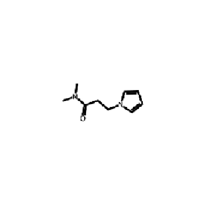 CN(C)C(=O)CCn1cccc1